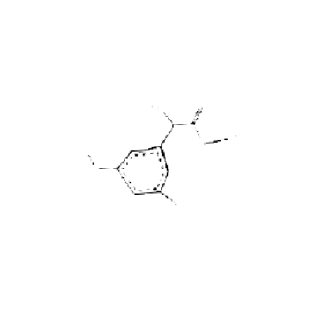 CC(C)(C)OC(=O)C(N)c1cc(Cl)cc(OC(F)(F)F)c1